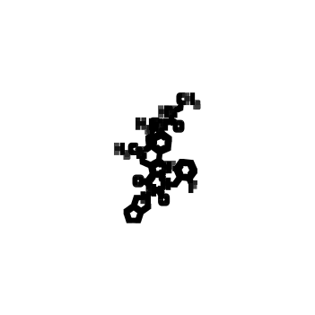 CCNC(=O)Nc1ccc(-c2sc3c(c2CN(C)CCOC)c(=O)n(N2CC4CCCC4C2)c(=O)n3Cc2c(F)cccc2F)cc1